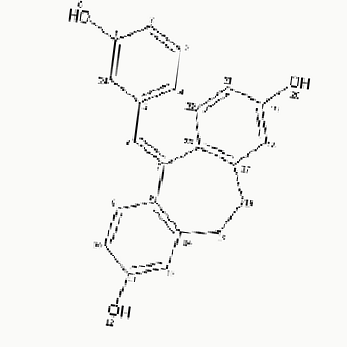 Oc1cccc(C=C2c3ccc(O)cc3CCc3cc(O)ccc32)c1